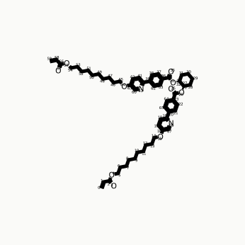 C=CC(=O)OCCCCCCCCCCOc1ccc(-c2ccc(C(=O)O[C@@H]3CCCC[C@H]3OC(=O)c3ccc(-c4ccc(OCCCCCCCCCCOC(=O)C=C)cn4)cc3)cc2)nc1